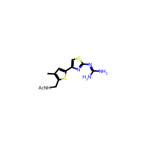 CC(=O)NCc1sc(-c2csc(N=C(N)N)n2)cc1C